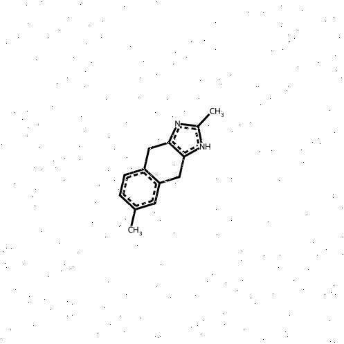 Cc1ccc2c(c1)Cc1[nH]c(C)nc1C2